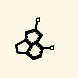 Clc1cc2c3c(ccc(Cl)c3c1)CC2